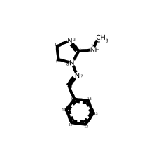 CNC1=NCCN1/N=C/c1ccccc1